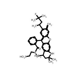 C=c1cc2c(cc1C(C)CC(C)(C)F)=C(c1ccccc1C(=O)N(C)CCS(=O)(=O)O)c1cc3c(cc1O2)NC(C)(C)CC3C